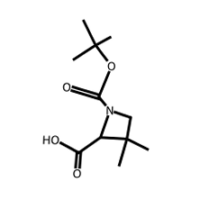 CC(C)(C)OC(=O)N1CC(C)(C)C1C(=O)O